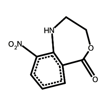 O=C1OCCNc2c1cccc2[N+](=O)[O-]